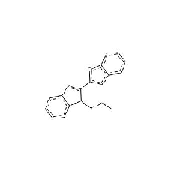 CCC[C]1C(c2cc3ccccc3o2)=Cc2ccccc21